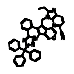 CCc1nc2ccc(C#N)nc2n1Cc1c2ccocc-2c(Br)c1-c1ccccc1-c1nnn(C(c2ccccc2)(c2ccccc2)c2ccccc2)n1